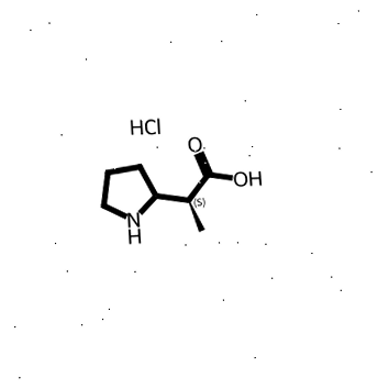 C[C@H](C(=O)O)C1CCCN1.Cl